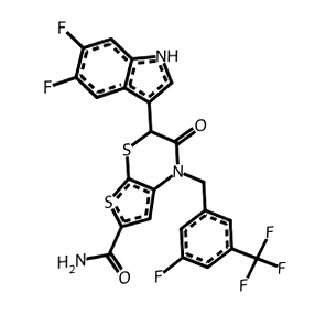 NC(=O)c1cc2c(s1)SC(c1c[nH]c3cc(F)c(F)cc13)C(=O)N2Cc1cc(F)cc(C(F)(F)F)c1